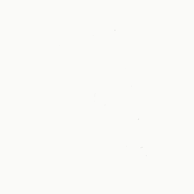 OCc1cccc(Oc2cccc(F)c2)c1F